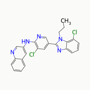 CCCn1c(-c2cnc(Nc3cnc4ccccc4c3)c(Cl)c2)nc2cccc(Cl)c21